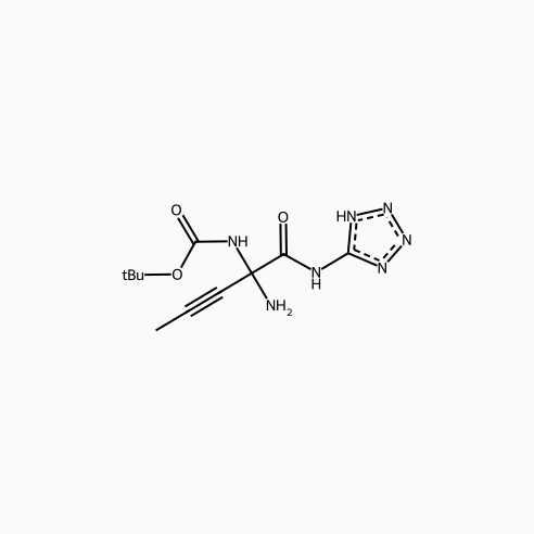 CC#CC(N)(NC(=O)OC(C)(C)C)C(=O)Nc1nnn[nH]1